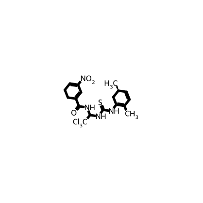 CC1=C(NC(=S)NC(NC(=O)C2=CC([N+](=O)[O-])=CCC2)C(Cl)(Cl)Cl)C[C@@H](C)C=C1